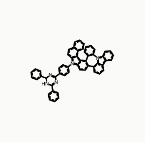 c1ccc(C2=NC(c3ccc(-n4c5ccc6c(c5c5c7ccccc7ccc54)-c4ccccc4-n4c5ccccc5c5cccc-6c54)cc3)=NC(c3ccccc3)N2)cc1